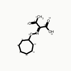 CC(=O)/C(=N\OC1CCCCCC1)C(=O)O